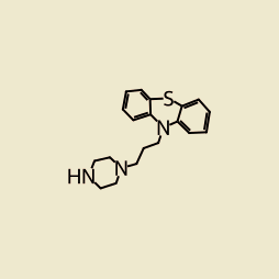 c1ccc2c(c1)Sc1ccccc1N2CCCN1CCNCC1